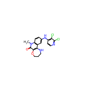 Cn1c(=O)c2c(c3cc(Nc4ccnc(Cl)c4Cl)ccc31)NCCCO2